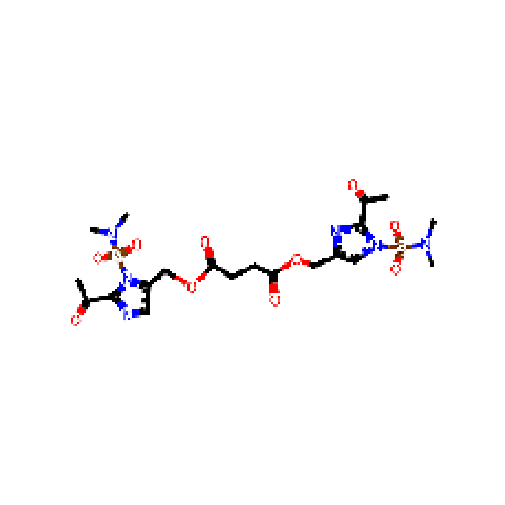 CC(=O)c1nc(COC(=O)CCC(=O)OCc2cnc(C(C)=O)n2S(=O)(=O)N(C)C)cn1S(=O)(=O)N(C)C